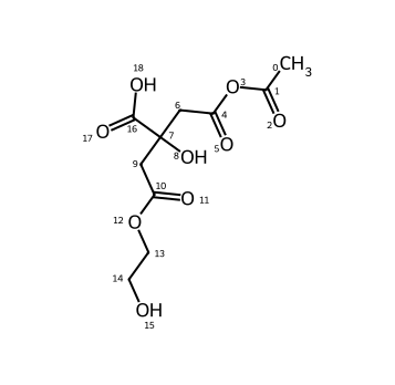 CC(=O)OC(=O)CC(O)(CC(=O)OCCO)C(=O)O